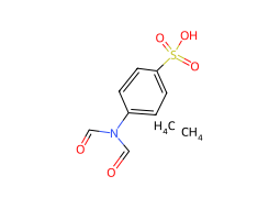 C.C.O=CN(C=O)c1ccc(S(=O)(=O)O)cc1